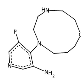 Nc1cncc(F)c1N1CCCOCCNCC1